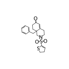 O=C1C=C2CCN(S(=O)(=O)C3=CCCS3)CC2(Cc2ccccc2)CC1